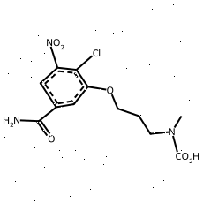 CN(CCCOc1cc(C(N)=O)cc([N+](=O)[O-])c1Cl)C(=O)O